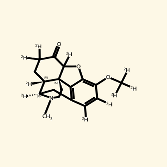 [2H]c1c([2H])c(OC([2H])([2H])[2H])c2c3c1C[C@@]1([2H])N(C)CC[C@@]34C([2H])(O2)C(=O)C([2H])([2H])C[C@@]14[2H]